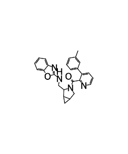 Cc1cccc(-c2cccnc2C(=O)N2CC3CC3C2CNc2nc3ccccc3o2)c1